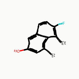 CCc1cc(O)cc2ccc(F)c(CC)c12